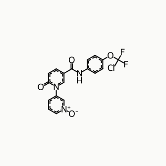 O=C(Nc1ccc(OC(F)(F)Cl)cc1)c1ccc(=O)n(-c2ccc[n+]([O-])c2)c1